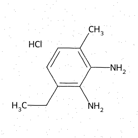 CCc1ccc(C)c(N)c1N.Cl